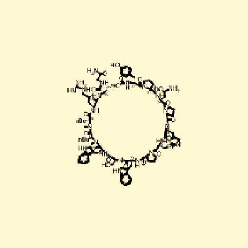 CCCC[C@H]1C(=O)N(C)[C@@H](CCCC)C(=O)N[C@@H](CCCNC(=N)N)C(=O)N[C@H](C(=O)NCC(N)=O)CSCC(=O)N[C@@H](Cc2ccc(O)cc2)C(=O)N2CCC[C@H]2C(=O)N[C@@H](CC(N)=O)C(=O)N2CCCC2C(=O)N[C@@H](Cc2cnc[nH]2)C(=O)N[C@@H](CC(C)C)C(=O)N2CCC[C@H]2C(=O)N[C@@H](Cc2c[nH]c3ccccc23)C(=O)N[C@@H](CO)C(=O)N[C@@H](Cc2c[nH]c3ccccc23)C(=O)N1C